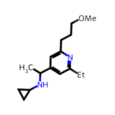 CCc1cc(C(C)NC2CC2)cc(CCCOC)n1